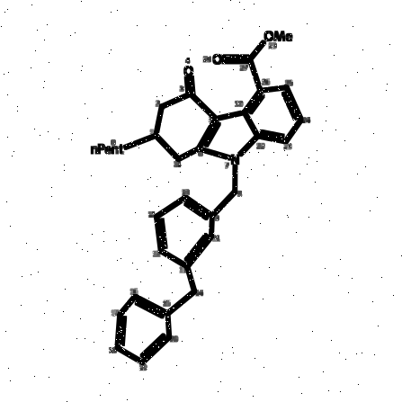 CCCCCC1CC(=O)c2c(n(Cc3cccc(Cc4ccccc4)c3)c3cccc(C(=O)OC)c23)C1